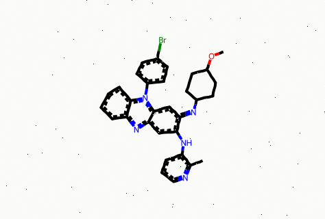 COC1CCC(/N=c2\cc3n(-c4ccc(Br)cc4)c4ccccc4nc-3cc2Nc2cccnc2C)CC1